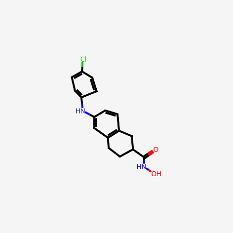 O=C(NO)C1CCc2cc(Nc3ccc(Cl)cc3)ccc2C1